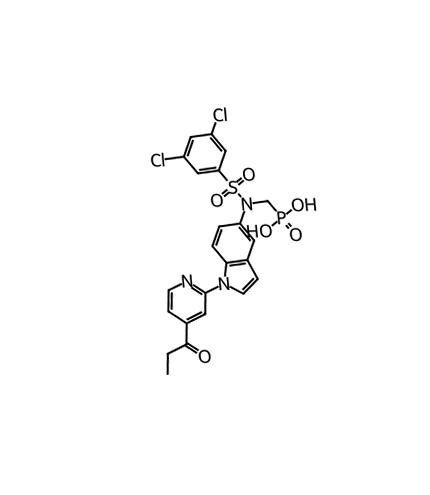 CCC(=O)c1ccnc(-n2ccc3cc(N(CP(=O)(O)O)S(=O)(=O)c4cc(Cl)cc(Cl)c4)ccc32)c1